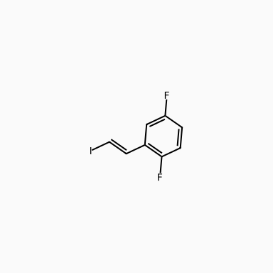 Fc1ccc(F)c(C=CI)c1